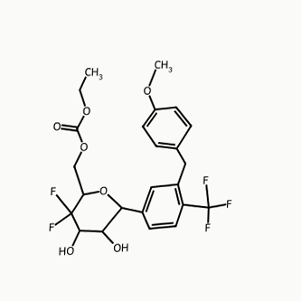 CCOC(=O)OCC1OC(c2ccc(C(F)(F)F)c(Cc3ccc(OC)cc3)c2)C(O)C(O)C1(F)F